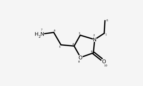 CCN1CC(CCN)OC1=O